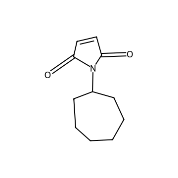 O=C1C=CC(=O)N1C1CCCCCC1